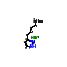 Br.CCCCCCCCCCc1cc[nH]n1